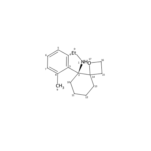 CCN[C@]1(c2ccccc2C)CCCCC12CCO2